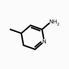 CC1C=C(N)N=CC1